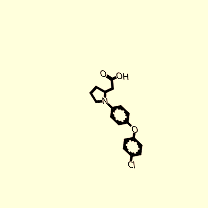 O=C(O)CC1CCCN1c1ccc(Oc2ccc(Cl)cc2)cc1